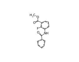 COC(=O)c1cccc(NC(=O)c2ccccc2)c1F